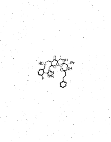 CC(C)[C@H](NC(=O)CCc1ccccc1)C(=O)N[C@@H](C)C(=O)NC(CC(=O)O)C(=O)Cn1nnnc1-c1c(F)cccc1F